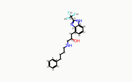 OC(CNCCCCc1ccccc1)Cc1cccc2[nH]c(C(F)(F)F)nc12